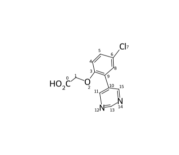 O=C(O)COc1ccc(Cl)cc1-c1cncnc1